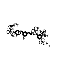 CC(C)c1cnc(C(=O)N2CCOC3(CCN(Cc4cc(F)cc(CCNC[C@H](OC(=O)C(F)(F)F)c5ccc(OC(=O)C(F)(F)F)c6[nH]c(=O)sc56)c4)CC3)C2)s1